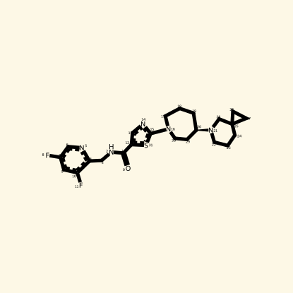 O=C(NCc1ncc(F)cc1F)c1cnc(N2CCC[C@@H](N3CCCC4(CC4)C3)CC2)s1